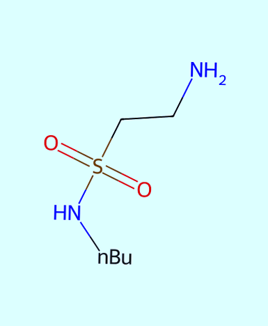 CCCCNS(=O)(=O)CCN